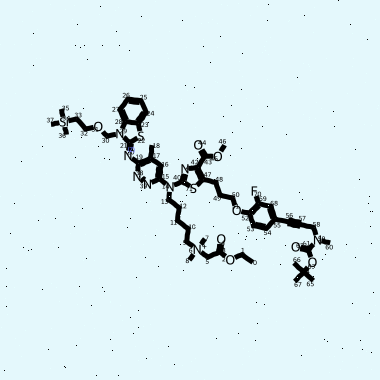 CCOC(=O)C[N+](C)(C)CCCCCN(c1cc(C)c(/N=c2\sc3ccccc3n2COCC[Si](C)(C)C)nn1)c1nc(C(=O)OC)c(CCCOc2ccc(C#CCN(C)C(=O)OC(C)(C)C)cc2F)s1